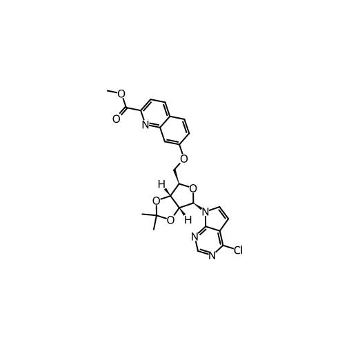 COC(=O)c1ccc2ccc(OC[C@H]3O[C@@H](n4ccc5c(Cl)ncnc54)[C@@H]4OC(C)(C)O[C@@H]43)cc2n1